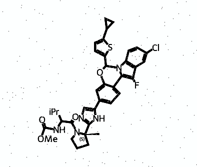 COC(=O)NC(C(=O)N1CCC[C@@]1(C)c1ncc(-c2ccc3c(c2)OC(c2ccc(C4CC4)s2)n2c-3c(F)c3cc(Cl)ccc32)[nH]1)C(C)C